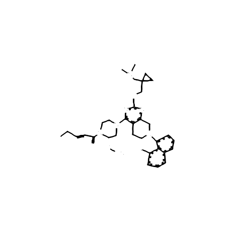 CN(C)CC1(COc2nc3c(c(N4CCN(C(=O)/C=C/CF)[C@@H](CC#N)C4)n2)CCN(c2cccc4cccc(Cl)c24)C3)CC1